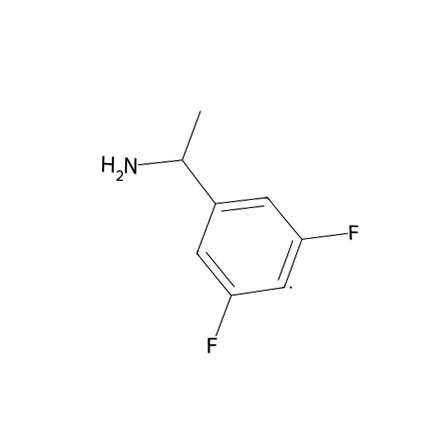 CC(N)c1cc(F)[c]c(F)c1